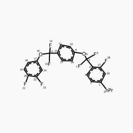 CCCc1ccc(C(F)(F)Oc2ccc(C(F)(F)Oc3ccc(F)c(F)c3)cc2)c(F)c1